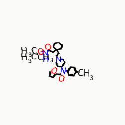 Cc1ccc(N(C(=O)c2ccco2)C2CCN(CCC3(CC(=O)NOC(C)(C)C)CCCCC3)CC2)cc1